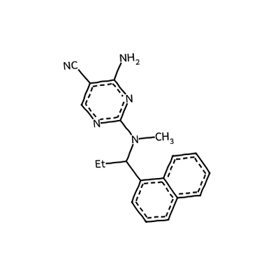 CCC(c1cccc2ccccc12)N(C)c1ncc(C#N)c(N)n1